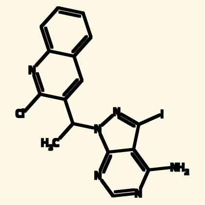 CC(c1cc2ccccc2nc1Cl)n1nc(I)c2c(N)ncnc21